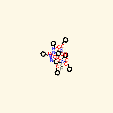 C[C@@H]([C@H]1O[C@H](O[C@H]2[C@H](O)[C@@H](O)[C@H](NC(=O)OCc3ccccc3)[C@@H](OCc3ccccc3)[C@@H]2NC(=O)OCc2ccccc2)[C@H](N=[N+]=[N-])C[C@@H]1OCc1ccccc1)N(Cc1ccccc1)C(=O)OCc1ccccc1